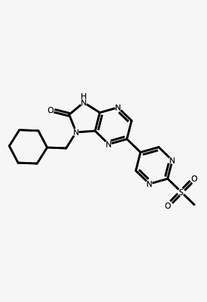 CS(=O)(=O)c1ncc(-c2cnc3[nH]c(=O)n(CC4CCCCC4)c3n2)cn1